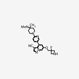 CNC1(C)CCN(c2ccc(-c3cc(OCC4(F)CNC4)cn4ncc(C#N)c34)cn2)CC1